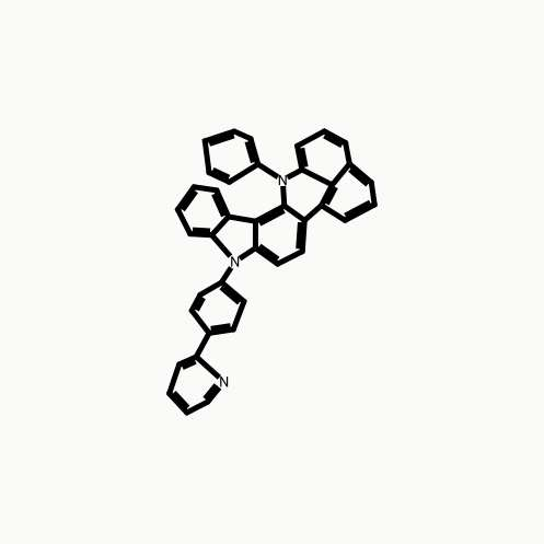 c1ccc(N2c3cccc4cccc(c34)-c3ccc4c(c32)c2ccccc2n4-c2ccc(-c3ccccn3)cc2)cc1